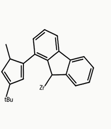 CC1C=C(C(C)(C)C)C=C1c1cccc2c1[CH]([Zr])c1ccccc1-2